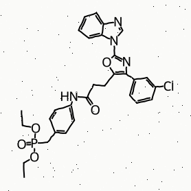 CCOP(=O)(Cc1ccc(NC(=O)CCc2oc(-n3cnc4ccccc43)nc2-c2cccc(Cl)c2)cc1)OCC